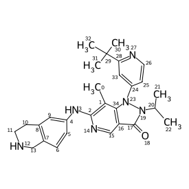 Cc1c(Nc2ccc3c(c2)CCNC3)ncc2c(=O)n(C(C)C)n(-c3ccnc(C(C)(C)C)c3)c12